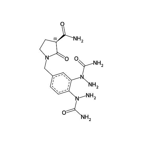 NC(=O)[C@@H]1CCN(Cc2ccc(N(N)C(N)=O)c(N(N)C(N)=O)c2)C1=O